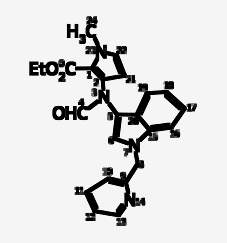 CCOC(=O)c1c(N(C=O)c2cn(Cc3ccccn3)c3ccccc23)ccn1C